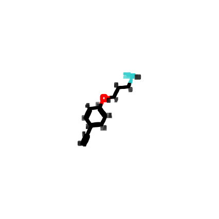 C#Cc1ccc(OCCC[18F])cc1